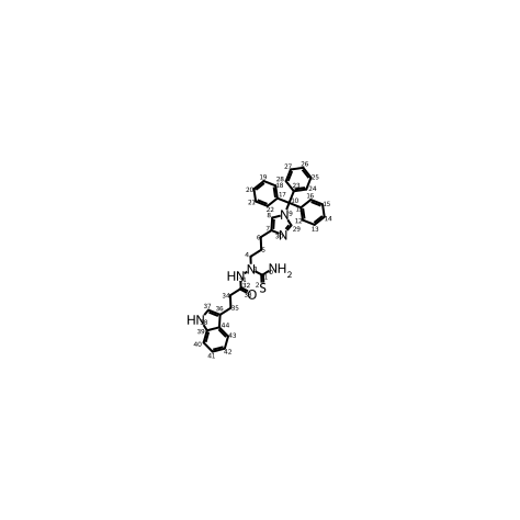 NC(=S)N(CCCc1cn(C(c2ccccc2)(c2ccccc2)c2ccccc2)cn1)NC(=O)CCc1c[nH]c2ccccc12